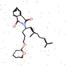 CC(C)=CCC/C(C)=C/C(CCCOC1CCCCO1)N1C(=O)c2ccccc2C1=O